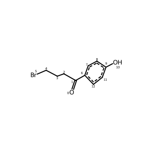 O=C(CCCBr)c1ccc(O)cc1